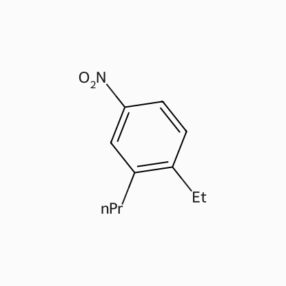 CCCc1cc([N+](=O)[O-])ccc1CC